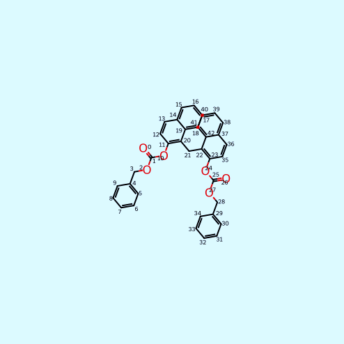 O=C(OCc1ccccc1)Oc1ccc2ccccc2c1Cc1c(OC(=O)OCc2ccccc2)ccc2ccccc12